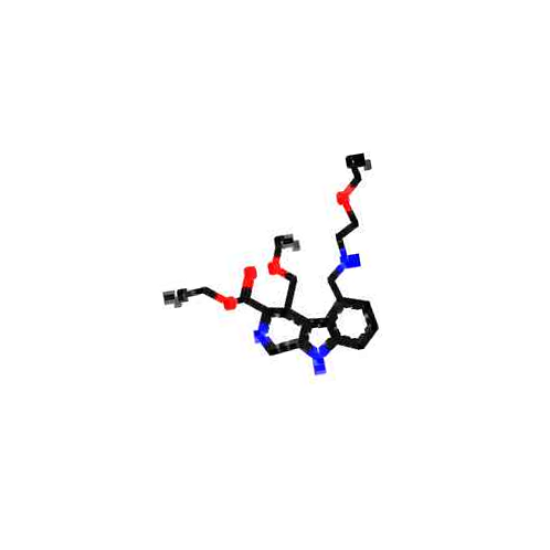 CCOCCNCc1cccc2[nH]c3cnc(C(=O)OCC)c(COC)c3c12